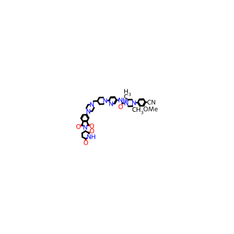 COc1cc(N2C[C@@H](C)N(C(=O)Nc3ccc(N4CCC(CN5CCN(c6ccc7c(c6)C(=O)N([C@H]6CCC(=O)NC6=O)C7=O)CC5)CC4)nc3)C[C@@H]2C)ccc1C#N